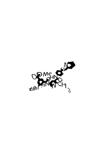 COC(=O)c1cc(C(=O)Nc2cnc(C)c(C(=O)Nc3ccc(OCc4ccccn4)cc3)c2)cc(C(C)(C)C)c1